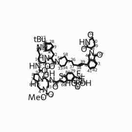 COC(=O)N1CC[C@H]2CC[C@@H](C(=O)NC(CCCN)C(=O)NC(Cc3ccc(C(C)(C)C)cc3)C(=O)N3CCC(CCC#Cc4cccc5c4CN(C4CCC(=O)NC4=O)C5=O)CC3)N2C(=O)[C@@H](NC(=O)c2cc3cc(C(F)(F)P(=O)(O)O)ccc3s2)C1